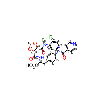 O=C(Nc1ccc(CC(NC(=O)[C@@H]2OCO[C@H]2C(=O)N(F)c2ccccc2F)C(=O)O)cc1)c1ccncc1